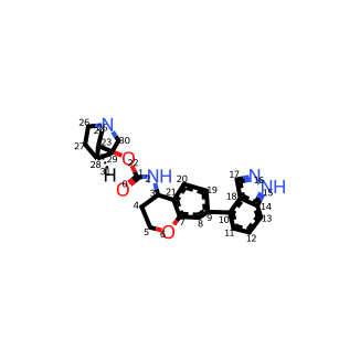 O=C(NC1CCOc2cc(-c3cccc4[nH]ncc34)ccc21)O[C@@H]1CN2CCC1CC2